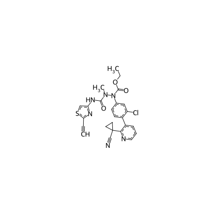 C#Cc1nc(NC(=O)N(C)N(C(=O)OCC)c2ccc(-c3cccnc3C3(C#N)CC3)c(Cl)c2)cs1